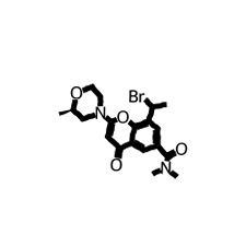 CC(Br)c1cc(C(=O)N(C)C)cc2c(=O)cc(N3CCO[C@H](C)C3)oc12